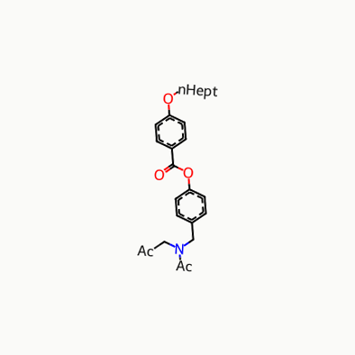 CCCCCCCOc1ccc(C(=O)Oc2ccc(CN(CC(C)=O)C(C)=O)cc2)cc1